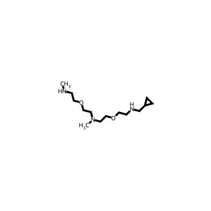 CNCCOCCN(C)CCOCCNCC1CC1